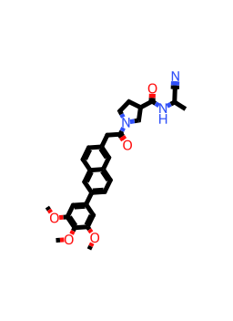 COc1cc(-c2ccc3cc(CC(=O)N4CCC(C(=O)NC(C)C#N)C4)ccc3c2)cc(OC)c1OC